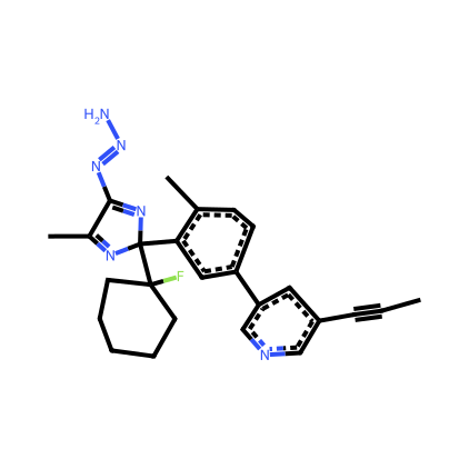 CC#Cc1cncc(-c2ccc(C)c(C3(C4(F)CCCCC4)N=C(C)C(N=NN)=N3)c2)c1